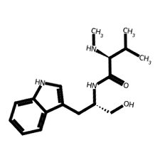 CN[C@H](C(=O)N[C@H](CO)Cc1c[nH]c2ccccc12)C(C)C